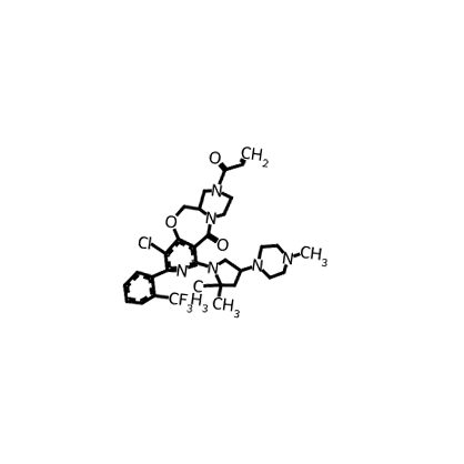 C=CC(=O)N1CCN2C(=O)c3c(N4CC(N5CCN(C)CC5)CC4(C)C)nc(-c4ccccc4C(F)(F)F)c(Cl)c3OCC2C1